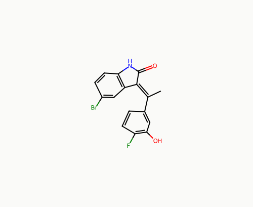 C/C(=C1\C(=O)Nc2ccc(Br)cc21)c1ccc(F)c(O)c1